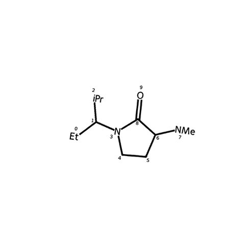 CCC(C(C)C)N1CCC(NC)C1=O